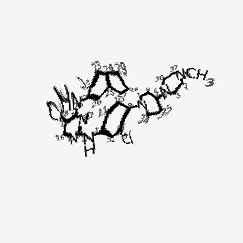 CN1CCN(C2CCN(c3ccc(Nc4ncc(Cl)c(Nc5ccc6c(c5)CCC6)n4)cc3Cl)CC2)CC1